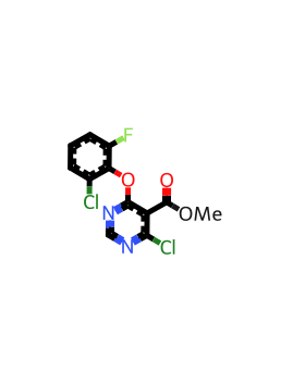 COC(=O)c1c(Cl)ncnc1Oc1c(F)cccc1Cl